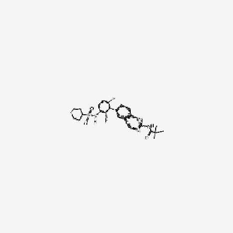 CC(C)(C)C(=O)Nc1ncc2cc(-c3c(F)ccc(NS(=O)(=O)C4CCCCC4)c3F)ccc2n1